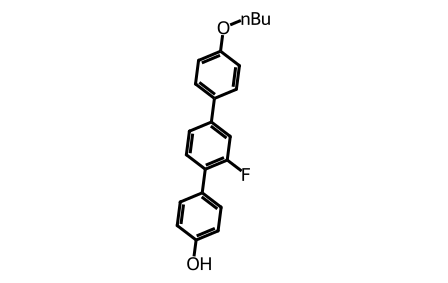 CCCCOc1ccc(-c2ccc(-c3ccc(O)cc3)c(F)c2)cc1